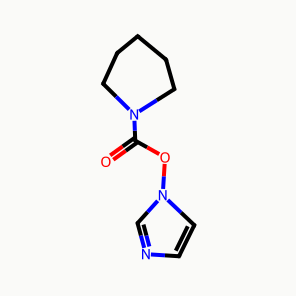 O=C(On1ccnc1)N1CCCCC1